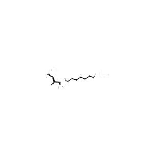 CCCCCCCCCCCCCCCCCOC(=O)C(C)=CC(F)CCCCCCCC